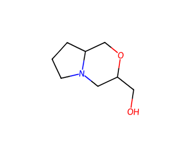 OCC1CN2CCCC2CO1